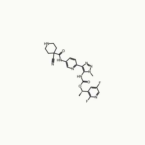 C[C@@H](OC(=O)Nc1c(-c2ccc(NC(=O)C3(C#N)CCNCC3)cn2)nnn1C)c1cc(F)cnc1F